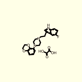 Fc1ccc2[nH]cc(CCN3CCN(c4cccc5c4OCCO5)CC3)c2c1.O=C(O)C(=O)O